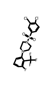 O=S(=O)(c1ccc(Cl)c(Cl)c1)N1CCN(c2cccc(F)c2C(F)(F)F)CC1